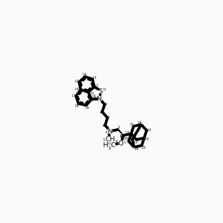 CO[C@@H](CN(C)CCCCN1Sc2cccc3cccc1c23)C12CC3CC(CC(C3)C1)C2